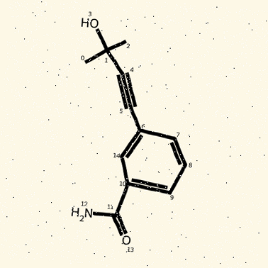 CC(C)(O)C#Cc1cccc(C(N)=O)c1